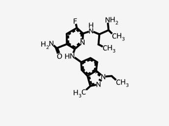 CCC(Nc1nc(Nc2ccc3c(c2)c(C)nn3CC)c(C(N)=O)cc1F)C(C)N